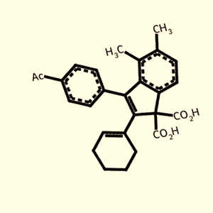 CC(=O)c1ccc(C2=C(C3=CCCCC3)C(C(=O)O)(C(=O)O)c3ccc(C)c(C)c32)cc1